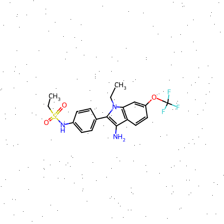 CCn1c(-c2ccc(NS(=O)(=O)CC)cc2)c(N)c2ccc(OC(F)(F)F)cc21